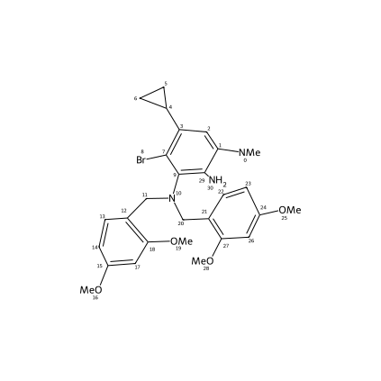 CNc1cc(C2CC2)c(Br)c(N(Cc2ccc(OC)cc2OC)Cc2ccc(OC)cc2OC)c1N